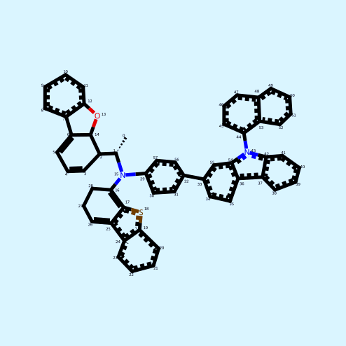 C[C@@H](C1C=CC=C2c3ccccc3OC21)N(C1=c2sc3ccccc3c2=CCC1)c1ccc(-c2ccc3c4ccccc4n(-c4cccc5ccccc45)c3c2)cc1